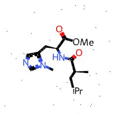 COC(=O)[C@H](Cc1cncn1C)NC(=O)[C@@H](C)CC(C)C